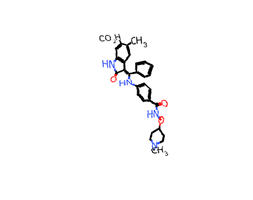 Cc1cc2c(cc1C(=O)O)NC(=O)/C2=C(\Nc1ccc(C(=O)NOC2CCN(C)CC2)cc1)c1ccccc1